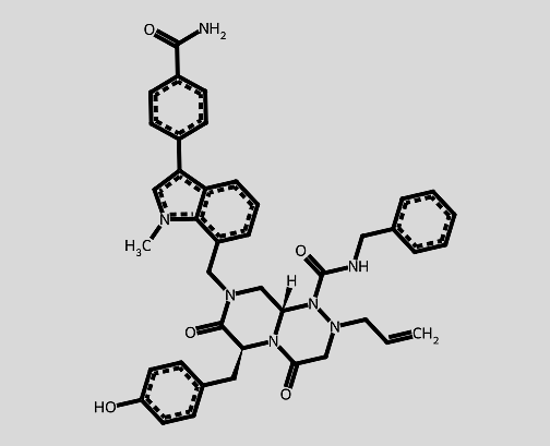 C=CCN1CC(=O)N2[C@@H](Cc3ccc(O)cc3)C(=O)N(Cc3cccc4c(-c5ccc(C(N)=O)cc5)cn(C)c34)C[C@@H]2N1C(=O)NCc1ccccc1